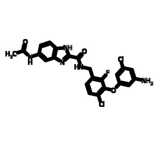 CC(=O)Nc1ccc2[nH]c(C(=O)NCc3ccc(Cl)c(Oc4cc(N)cc(Cl)c4)c3F)nc2c1